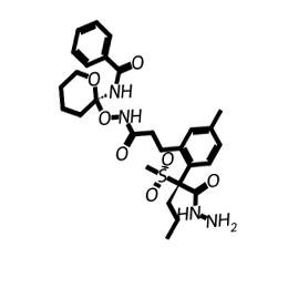 CCC[C@](C(=O)NN)(c1ccc(C)cc1CCC(=O)NO[C@@]1(NC(=O)c2ccccc2)CCCCO1)S(C)(=O)=O